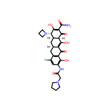 NC(=O)C1=C(O)[C@@H](N2CCC2)[C@@H]2C[C@@H]3Cc4c(F)cc(NC(=O)CN5CCCC5)c(O)c4C(=O)C3=C(O)[C@@H]2C1=O